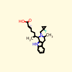 C=C(CC/C=C/C(=O)O)C1c2[nH]c3ccccc3c2CC(C)N1CC1(F)CC1